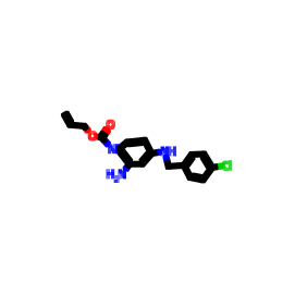 C=CCOC(=O)Nc1ccc(NCc2ccc(Cl)cc2)cc1N